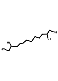 OCC(S)CCCCCCCCC(S)CO